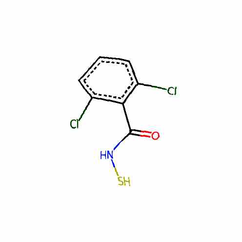 O=C(NS)c1c(Cl)cccc1Cl